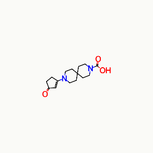 O=C1C=C(N2CCC3(CCN(C(=O)O)CC3)CC2)CC1